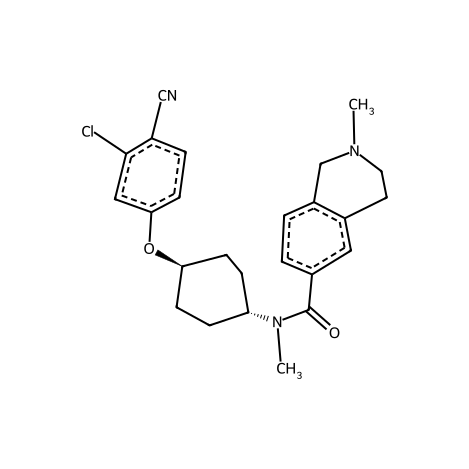 CN1CCc2cc(C(=O)N(C)[C@H]3CC[C@H](Oc4ccc(C#N)c(Cl)c4)CC3)ccc2C1